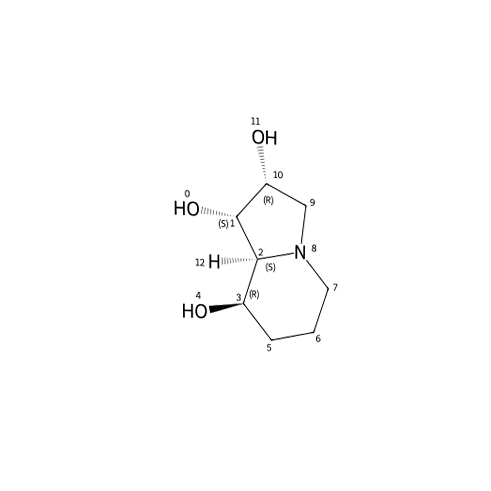 O[C@H]1[C@@H]2[C@H](O)CCCN2C[C@H]1O